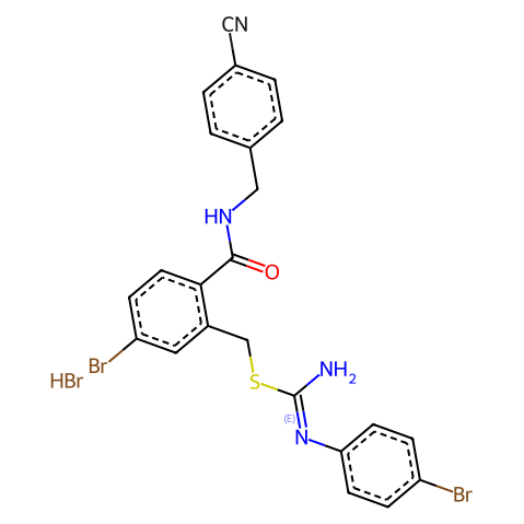 Br.N#Cc1ccc(CNC(=O)c2ccc(Br)cc2CS/C(N)=N/c2ccc(Br)cc2)cc1